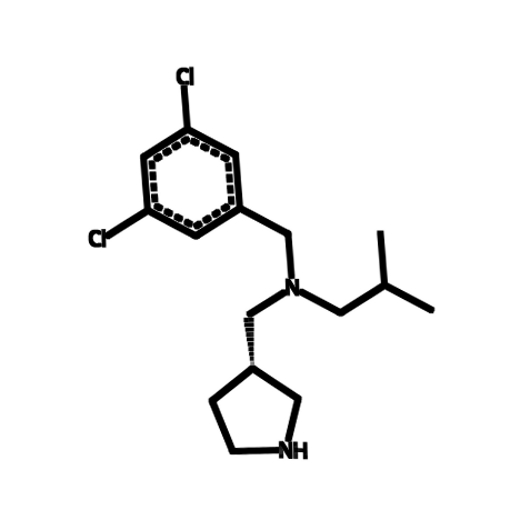 CC(C)CN(Cc1cc(Cl)cc(Cl)c1)C[C@H]1CCNC1